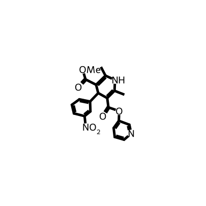 COC(=O)C1=C(C)NC(C)=C(C(=O)Oc2cccnc2)C1c1cccc([N+](=O)[O-])c1